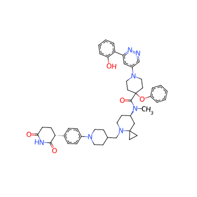 CN(C(=O)C1(Oc2ccccc2)CCN(c2cnnc(-c3ccccc3O)c2)CC1)[C@@H]1CCN(CC2CCN(c3ccc([C@H]4CCC(=O)NC4=O)cc3)CC2)C2(CC2)C1